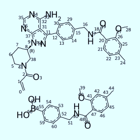 C=CC(=O)N1CCC[C@@H](n2nc(-c3ccc(CNC(=O)c4ccc(C)cc4OC)cc3)c3c(N)ncnc32)C1.COc1cc(C)ccc1C(=O)NCc1ccc(B(O)O)cc1